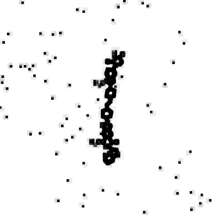 COc1cc2nn(C3CCC(CCN4CCC(c5cc6cc(N7CCC(=O)NC7=O)ccc6n5C)CC4)CC3)cc2cc1C(=O)Nc1cnc2cccnn12